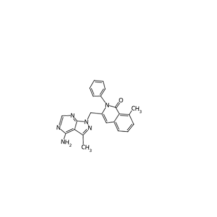 Cc1nn(Cc2cc3cccc(C)c3c(=O)n2-c2ccccc2)c2ncnc(N)c12